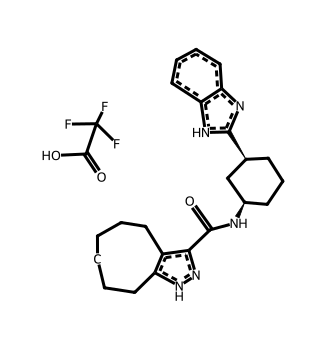 O=C(N[C@@H]1CCC[C@H](c2nc3ccccc3[nH]2)C1)c1n[nH]c2c1CCCCCC2.O=C(O)C(F)(F)F